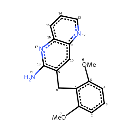 COc1cccc(OC)c1Cc1cc2ncccc2nc1N